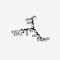 CCCN(CCC)CC(O)COCC(CC)(COCC(O)CN(CC(=O)OCC)CC(=O)OCC)COCC(O)CN(CC(=O)OCC)CC(=O)OCC